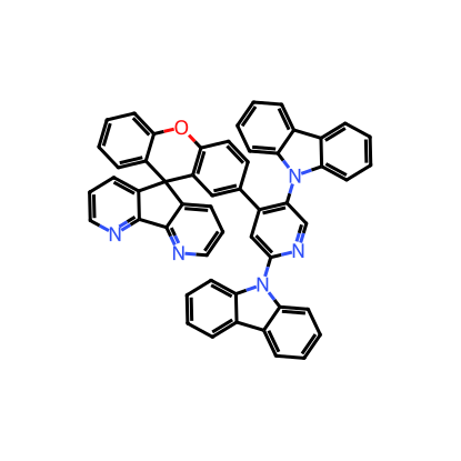 c1ccc2c(c1)Oc1ccc(-c3cc(-n4c5ccccc5c5ccccc54)ncc3-n3c4ccccc4c4ccccc43)cc1C21c2cccnc2-c2ncccc21